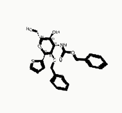 O=C(N[C@H]1[C@H](O)[C@@H](CO)O[C@H](c2cccs2)[C@@H]1OCc1ccccc1)OCc1ccccc1